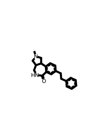 CN1CC2CNC(=O)c3cc(CCc4ccccc4)ccc3C2C1